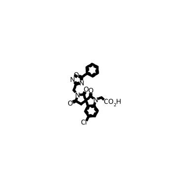 O=C(O)CN1C(=O)C2(CC(=O)N(Cc3noc(-c4ccccc4)n3)C2=O)c2cc(Cl)ccc21